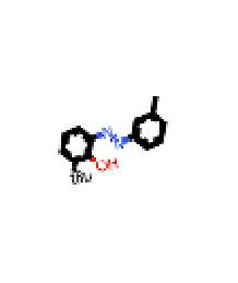 Cc1cccc(N=Nc2cccc(C(C)(C)C)c2O)c1